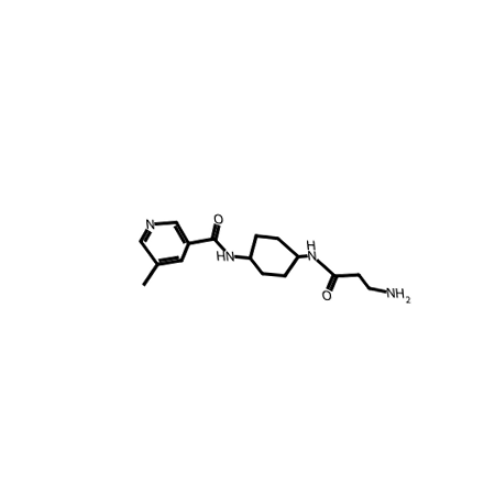 Cc1cncc(C(=O)NC2CCC(NC(=O)CCN)CC2)c1